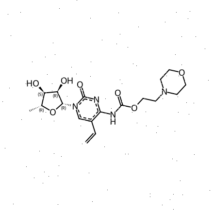 C=Cc1cn([C@@H]2O[C@H](C)[C@@H](O)[C@H]2O)c(=O)nc1NC(=O)OCCN1CCOCC1